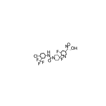 O=N[C@H](CO)c1cnc(C2(F)CCN(C(=O)Nc3ccc(Cl)c(C(F)(F)F)c3)CC2)c(F)c1